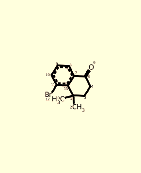 CC1(C)CCC(=O)c2cccc(Br)c21